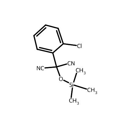 C[Si](C)(C)OC(C#N)(C#N)c1ccccc1Cl